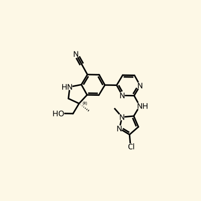 Cn1nc(Cl)cc1Nc1nccc(-c2cc(C#N)c3c(c2)[C@@](C)(CO)CN3)n1